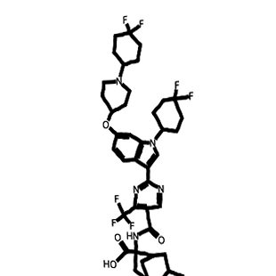 CC1CC2CC(C1)C(NC(=O)c1cnc(-c3cn(C4CCC(F)(F)CC4)c4cc(OC5CCN(C6CCC(F)(F)CC6)CC5)ccc34)nc1C(F)(F)F)(C(=O)O)C2